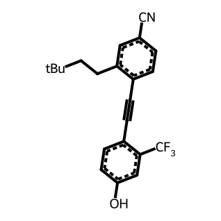 CC(C)(C)CCc1cc(C#N)ccc1C#Cc1ccc(O)cc1C(F)(F)F